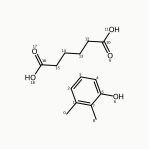 Cc1cccc(O)c1C.O=C(O)CCCCC(=O)O